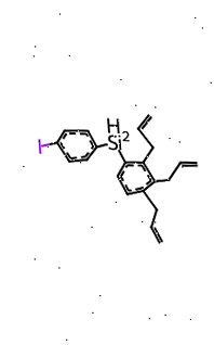 C=CCc1ccc([SiH2]c2ccc(I)cc2)c(CC=C)c1CC=C